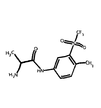 Cc1ccc(NC(=O)C(C)N)cc1S(=O)(=O)C(F)(F)F